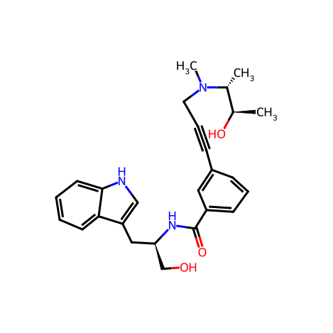 C[C@H]([C@@H](C)O)N(C)CC#Cc1cccc(C(=O)N[C@@H](CO)Cc2c[nH]c3ccccc23)c1